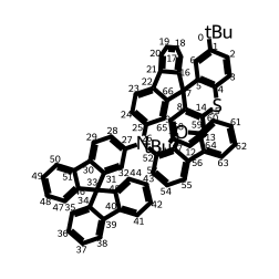 CC(C)(C)c1ccc2c(c1)C1(c3cc(C(C)(C)C)ccc3S2)c2ccccc2-c2ccc(N(c3ccc4c(c3)C3(c5ccccc5-c5ccccc53)c3ccccc3-4)c3cccc4c3oc3ccccc34)cc21